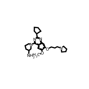 COc1cc2c(N3CCCC(N)C3)nc(C3CCCC3)nc2cc1OCCCN1CCCC1